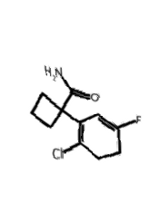 NC(=O)C1(C2=C(Cl)CCC(F)=C2)CCC1